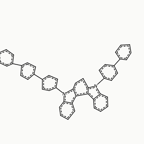 c1ccc(-c2ccc(-c3ccc(-n4c5ccccc5c5c6c7ccccc7n(-c7ccc(-c8ccccc8)cc7)c6ccc54)cc3)cc2)cc1